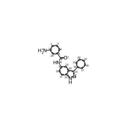 Nc1cccc(C(=O)Nc2ccc3[nH]nc(-c4ccccc4)c3c2)c1